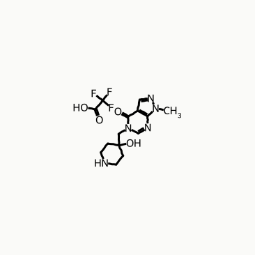 Cn1ncc2c(=O)n(CC3(O)CCNCC3)cnc21.O=C(O)C(F)(F)F